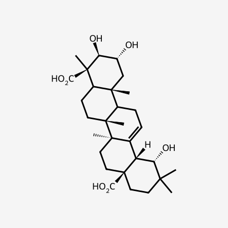 CC1(C)CC[C@]2(C(=O)O)CC[C@]3(C)C(=CCC4[C@@]5(C)C[C@@H](O)[C@H](O)[C@](C)(C(=O)O)C5CC[C@]43C)[C@@H]2[C@@H]1O